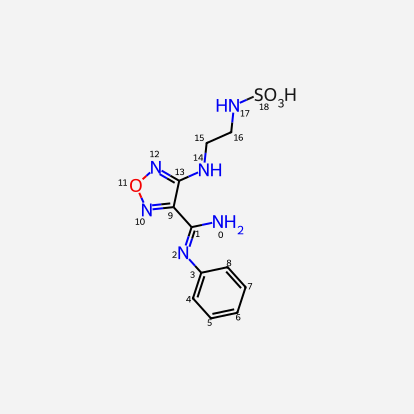 NC(=Nc1ccccc1)c1nonc1NCCNS(=O)(=O)O